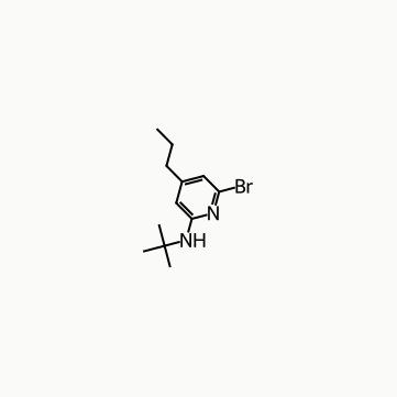 CCCc1cc(Br)nc(NC(C)(C)C)c1